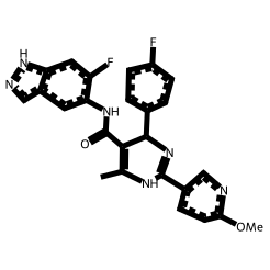 COc1ccc(C2=NC(c3ccc(F)cc3)C(C(=O)Nc3cc4cn[nH]c4cc3F)=C(C)N2)cn1